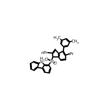 CCCC1=Cc2c(ccc(C(C)C)c2-c2cc(C)cc(C)c2)[CH]1[Zr]([Cl])([Cl])[c]1cccc2c1[SiH2]c1ccccc1-2